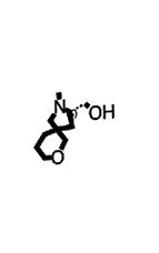 CN1CC2(CCCOC2)C[C@H]1CO